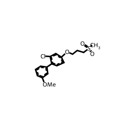 COc1cccc(-c2ccc(OCCCS(C)(=O)=O)cc2Cl)c1